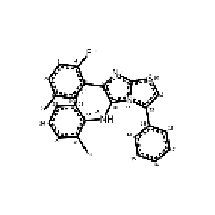 Cc1ccc(F)c(-c2nc3scc(-c4ccccc4)n3c2Nc2c(C)cccc2C)c1